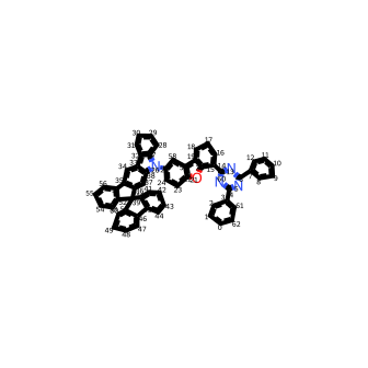 c1ccc(-c2nc(-c3ccccc3)nc(-c3cccc4c3oc3ccc(-n5c6ccccc6c6cc7c(cc65)C5(c6ccccc6-c6ccccc65)c5ccccc5-7)cc34)n2)cc1